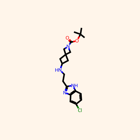 CC(C)(C)OC(=O)N1CC2(CC(NCCc3nc4cc(Cl)ccc4[nH]3)C2)C1